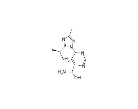 Cc1nc([C@H](C)N)n(-c2cc(C(N)O)ncn2)n1